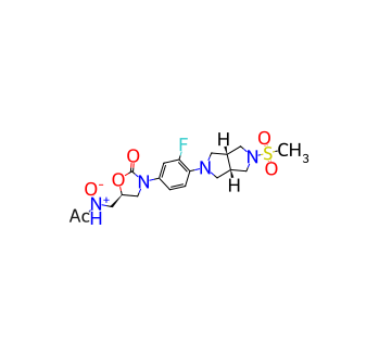 CC(=O)[NH+]([O-])C[C@@H]1CN(c2ccc(N3C[C@@H]4CN(S(C)(=O)=O)C[C@@H]4C3)c(F)c2)C(=O)O1